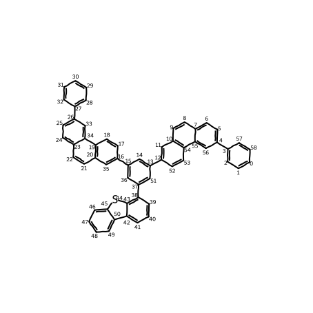 c1ccc(-c2ccc3ccc4cc(-c5cc(-c6ccc7c(ccc8ccc(-c9ccccc9)cc87)c6)cc(-c6cccc7c6sc6ccccc67)c5)ccc4c3c2)cc1